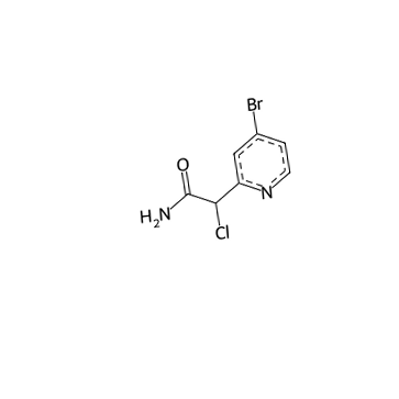 NC(=O)C(Cl)c1cc(Br)ccn1